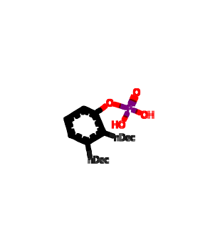 CCCCCCCCCCc1cccc(OP(=O)(O)O)c1CCCCCCCCCC